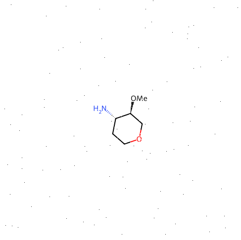 CO[C@H]1COCC[C@@H]1N